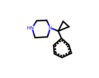 c1ccc(C2(N3CCNCC3)CC2)cc1